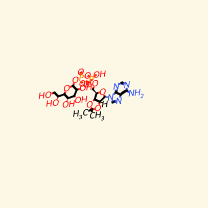 CC1(C)OC2[C@@H](COP(=O)(O)OP(=O)(O)OC3OC([C@H](O)CO)[C@@H](O)[C@H](O)C3O)O[C@@H](n3cnc4c(N)ncnc43)[C@H]2O1